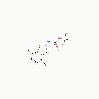 Cc1ccc(C)c2c1CN(NC(=O)OC(C)(C)C)C2